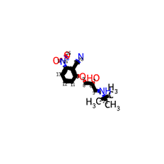 CC(C)(C)NCC(O)COc1cccc([N+](=O)[O-])c1C#N